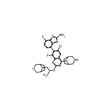 C[C@@H](CN1C2CCC1COC2)Oc1nc(N2C3CCC2CNC3)c2cc(Cl)c(-c3ccc(F)c4sc(N)nc34)c(F)c2n1